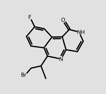 CC(CBr)c1nc2cc[nH]c(=O)c2c2cc(F)ccc12